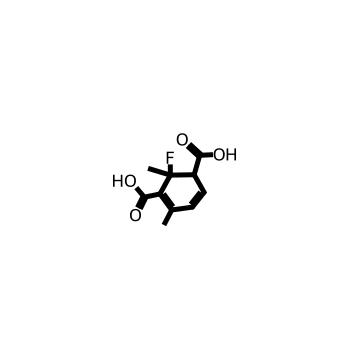 CC1=C(C(=O)O)C(C)(F)C(C(=O)O)C=C1